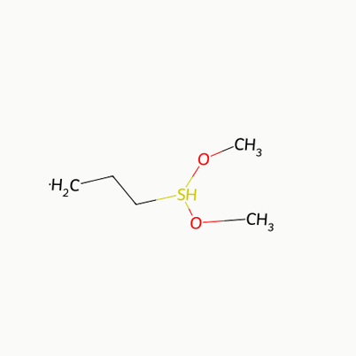 [CH2]CC[SH](OC)OC